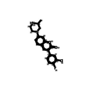 CC1CN(c2ccc3cc(-c4ccc(F)c(Cl)c4)c(=O)oc3c2)CCN1